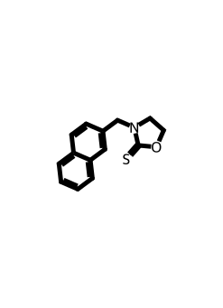 S=C1OCCN1Cc1ccc2ccccc2c1